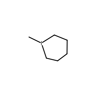 CI1CCCCC1